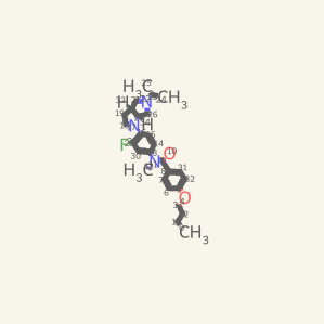 CCCCOc1ccc(C(=O)N(C)c2ccc(N3CC[C@@H]4CN(C(C)C)C[C@@H]43)c(F)c2)cc1